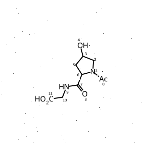 CC(=O)N1CC(O)CC1C(=O)NCC(=O)O